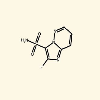 NS(=O)(=O)c1c(F)nc2cccnn12